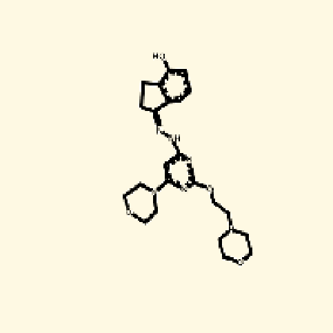 Oc1cccc2c1CC/C2=N/Nc1cc(N2CCOCC2)nc(OCCN2CCOCC2)n1